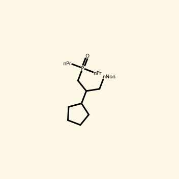 CCCCCCCCCCC(CP(=O)(CCC)CCC)C1CCCC1